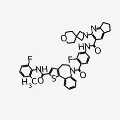 Cc1cccc(F)c1NC(=O)c1cc2c(s1)-c1ccccc1N(C(=O)c1ccc(NC(=O)c3cc4c(nc3N3CC5(CCOCC5)C3)CCC4)cc1F)CC2